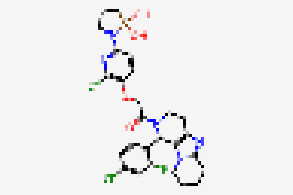 O=C(COc1ccc(N2CCCS2(O)O)nc1Cl)N1CCc2nc3n(c2C1c1ccc(Cl)cc1F)CCCC3